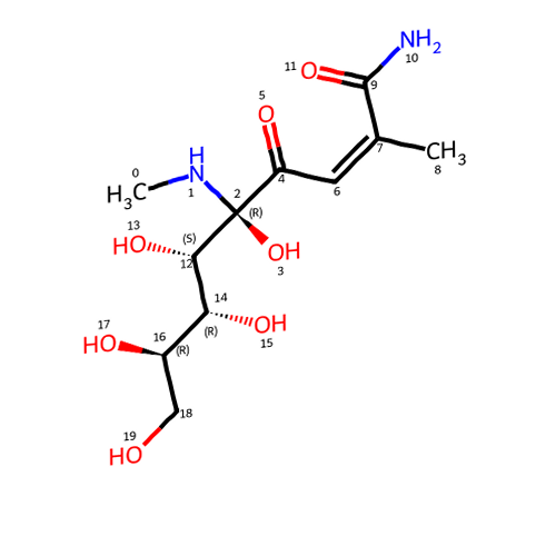 CN[C@](O)(C(=O)C=C(C)C(N)=O)[C@@H](O)[C@H](O)[C@H](O)CO